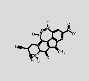 C=C1C2=C(C([N+](=O)[O-])=C(CC(C#N)C#N)C([N+](=O)[O-])C2=O)c2c1cc([N+](=O)[O-])cc2[N+](=O)[O-]